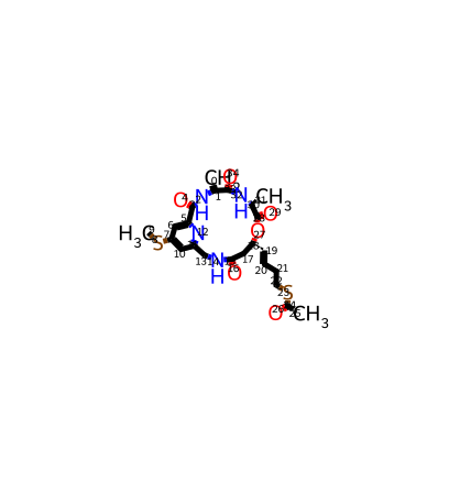 C=C1NC(=O)c2cc(SC)cc(n2)CNC(=O)C[C@@H](/C=C/CCSC(C)=O)OC(=O)[C@H](C)NC1=O